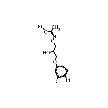 CCO/C(C)=N\OCC(O)COc1ccc(Cl)c(Cl)c1